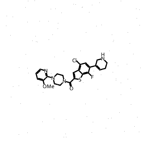 COc1cccnc1N1CCN(C(=O)c2cc3c(Cl)cc(C4=CCCNC4)c(F)c3s2)CC1